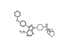 CN1C2CCC1CC(NC1CCC(n3nc(-c4ccc(Oc5ccccc5)cc4)c4c(N)ncnc43)CC1)C2